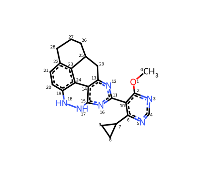 COc1ncnc(C2CC2)c1-c1nc2c3c(n1)NNc1ccc4c(c1-3)C(CCC4)C2